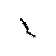 CN(C)CCCOc1ccc2cc(-c3ccc(OCCCN(C)CCOCCOCCN(C)C)cc3)oc2c1